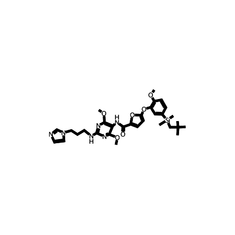 COc1ccc([Si](C)(C)CC(C)(C)C)cc1Oc1ccc(C(=O)Nc2c(OC)nc(NCCCn3ccnc3)nc2OC)o1